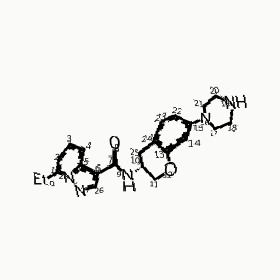 CCc1cccc2c(C(=O)N[C@H]3COc4cc(N5CCNCC5)ccc4C3)cnn12